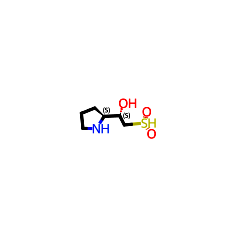 O=[SH](=O)C[C@@H](O)[C@@H]1CCCN1